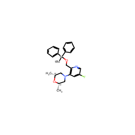 C[C@@H]1CN(c2cc(F)cnc2CO[Si](c2ccccc2)(c2ccccc2)C(C)(C)C)C[C@H](C)O1